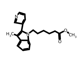 COC(=O)CCCCCn1c(-c2cccnc2)c(C)c2ccccc21